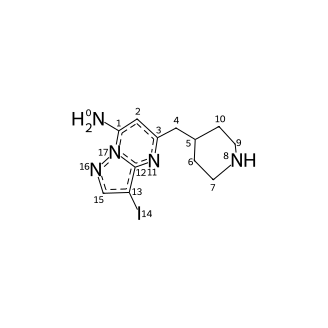 Nc1cc(CC2CCNCC2)nc2c(I)cnn12